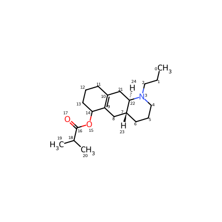 CCCN1CCC[C@@H]2CC3=C(CCCC3OC(=O)C(C)C)C[C@H]21